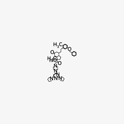 Cc1ccc(OCc2ccccc2)cc1CCC1CC(=O)CC2(C)C1CCC2(O)C(=O)CN1CCN(c2cc(N3CCCC3)nc(N3CCCC3)n2)CC1